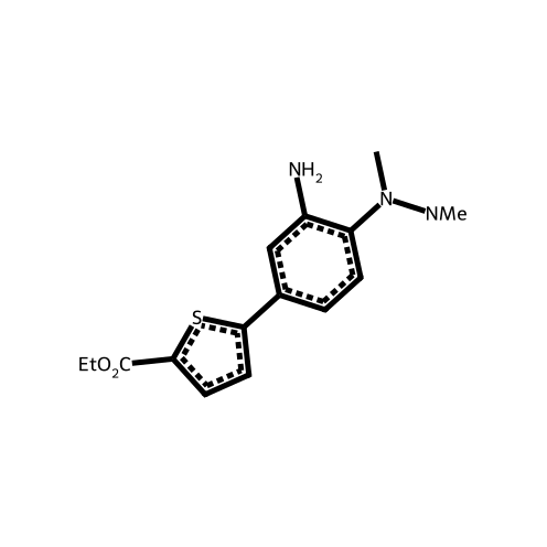 CCOC(=O)c1ccc(-c2ccc(N(C)NC)c(N)c2)s1